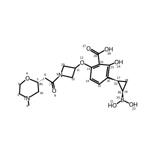 CN1CCO[C@H](CC(=O)N2CC(Oc3ccc([C@H]4C[C@H]4B(O)O)c(O)c3C(=O)O)C2)C1